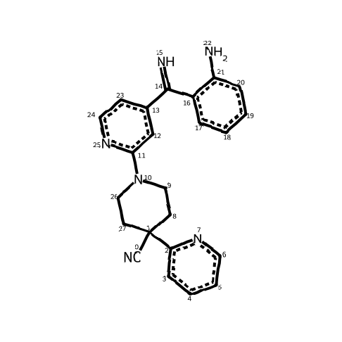 N#CC1(c2ccccn2)CCN(c2cc(C(=N)c3ccccc3N)ccn2)CC1